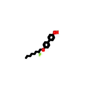 CCCCCCC(F)COc1ccc(-c2ccc(O)cc2)cc1